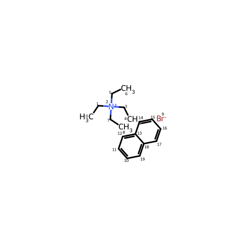 CC[N+](CC)(CC)CC.[Br-].c1ccc2ccccc2c1